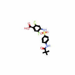 CC(C)(C)C(=O)Nc1ccc(S(=O)(=O)Nc2cc(F)c(C(=O)O)cc2F)cc1